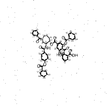 O=C(N[C@H]1CN(C(=O)c2ccccc2)CCC[C@@H]1OC(=O)c1cc(O)c(C(=O)c2c(O)cccc2C(=O)O)c(OC(=O)c2ccccc2)c1)c1ccc(OC(=O)c2ccccc2)cc1